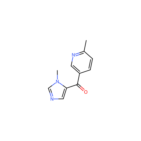 Cc1ccc(C(=O)c2cncn2C)cn1